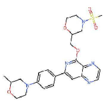 CC1CN(c2ccc(-c3cc4nccnc4c(OCC4CN(S(C)(=O)=O)CCO4)n3)cc2)CCO1